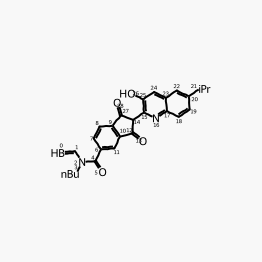 B=CN(CCCC)C(=O)c1ccc2c(c1)C(=O)C(c1nc3ccc(C(C)C)cc3cc1O)C2=O